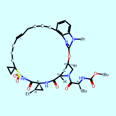 CC[C@@H]1C[C@@]12NC(=O)[C@@H]1C[C@H](CN1C(=O)[C@@H](NC(=O)OC(C)(C)C)C(C)(C)C)Oc1nc3c(cccc3n1C(C)C)CCCC/C=C/CCCC1(CC1)S(=O)(=O)NC2=O